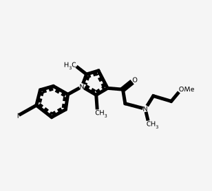 COCCN(C)CC(=O)c1cc(C)n(-c2ccc(I)cc2)c1C